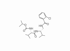 CC(C)OC(=O)N[C@H](C(=O)N[C@H](CNC(=O)c1ccccc1Cl)C(C)C)C(C)C